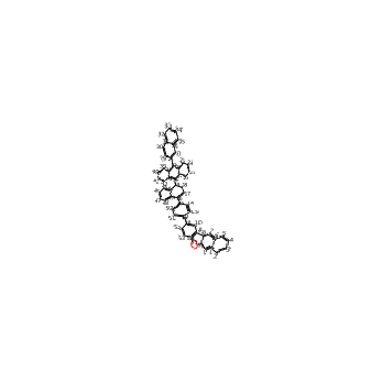 C1=c2ccccc2=CC2c3cc(-c4ccc(-c5ccc(-c6c7ccccc7c(-c7ccc8ccccc8c7)c7ccccc67)c6ccccc56)cc4)ccc3OC12